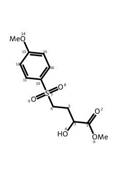 COC(=O)C(O)CCS(=O)(=O)c1ccc(OC)cc1